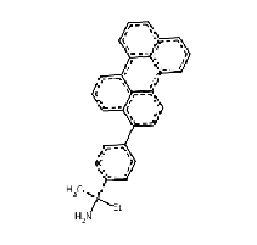 CCC(C)(N)c1ccc(-c2ccc3c4cccc5cccc(c6cccc2c63)c54)cc1